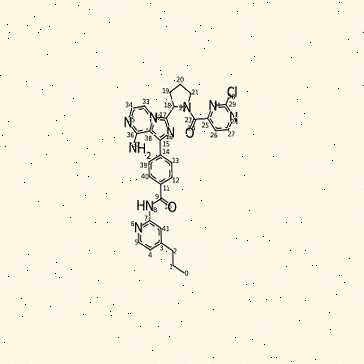 CCCc1ccnc(NC(=O)c2ccc(-c3nc(C4CCCN4C(=O)c4ccnc(Cl)n4)n4ccnc(N)c34)cc2)c1